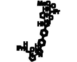 COC(=O)NC(C(=O)N1CCC[C@H]1c1ncc(-c2ccc(-c3ccc(-c4cnc([C@@H]5CCCN5C(=O)CNC(C)C)[nH]4)cc3)cc2)[nH]1)C(C)C